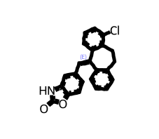 O=c1[nH]c2cc(/C=C3\c4ccccc4CCc4c(Cl)cccc43)ccc2o1